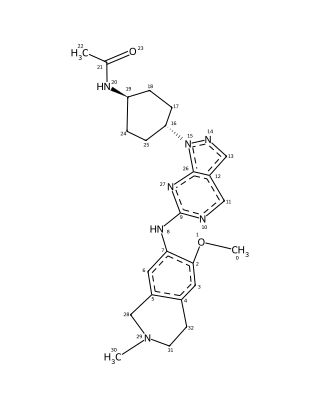 COc1cc2c(cc1Nc1ncc3cnn([C@H]4CC[C@H](NC(C)=O)CC4)c3n1)CN(C)CC2